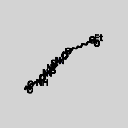 C=CC(=O)OCCNc1ccc(/N=N/c2nc3sc(/N=N/c4ccc(OCCCCCCCCCOC(=O)CC)cc4)cc3s2)cc1